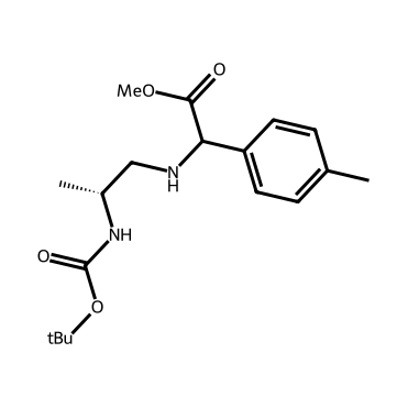 COC(=O)C(NC[C@@H](C)NC(=O)OC(C)(C)C)c1ccc(C)cc1